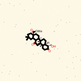 COC(=O)[C@]12CCC(C)(C)CC1C1C(=O)C=C3[C@@]4(C)CCC(=O)[C@@H](CO)[C@@H]4CC[C@@]3(C)[C@]1(C)CC2